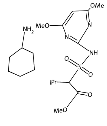 COC(=O)C(C(C)C)S(=O)(=O)Nc1nc(OC)cc(OC)n1.NC1CCCCC1